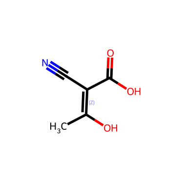 C/C(O)=C(\C#N)C(=O)O